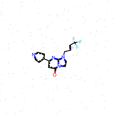 O=c1cc(-c2ccncc2)nc2n(C/C=C/C(F)(F)F)ccn12